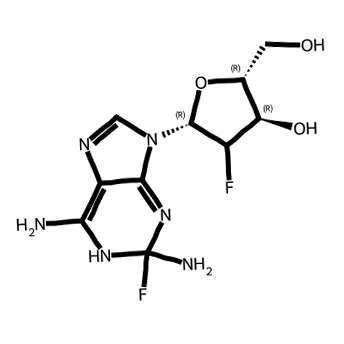 NC1=c2ncn([C@@H]3O[C@H](CO)[C@@H](O)C3F)c2=NC(N)(F)N1